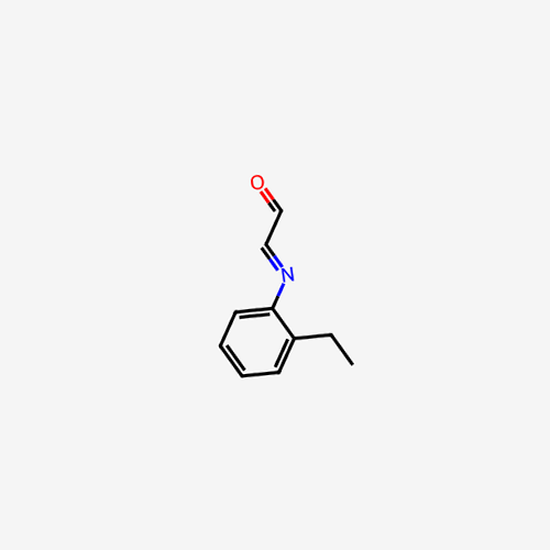 CCc1ccccc1N=CC=O